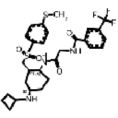 CSc1ccc(S(=O)(=O)C[C@@H]2C[C@H](NC3CCC3)CC[C@@H]2NC(=O)CNC(=O)c2cccc(C(F)(F)F)c2)cc1